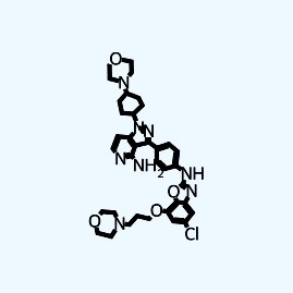 Nc1nccc2c1c(-c1ccc(Nc3nc4cc(Cl)cc(OCCCN5CCOCC5)c4o3)cc1)nn2C1CCC(N2CCOCC2)CC1